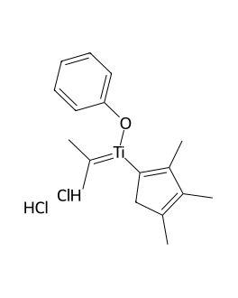 CC1=C(C)C(C)=[C]([Ti]([O]c2ccccc2)=[C](C)C)C1.Cl.Cl